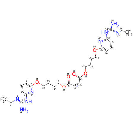 NC(=NCC(F)(F)F)Nc1cccc(OCCCCOC(=O)/C=C\C(=O)OCCCCOc2cccc(NC(N)=NCC(F)(F)F)n2)n1